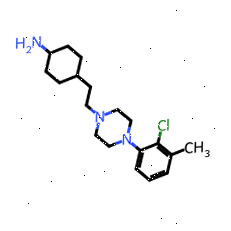 Cc1cccc(N2CCN(CCC3CCC(N)CC3)CC2)c1Cl